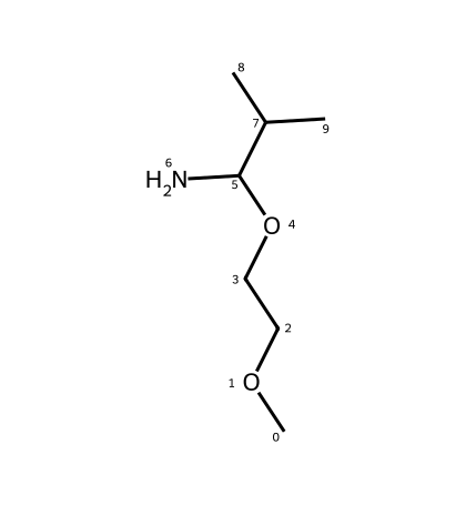 COCCOC(N)C(C)C